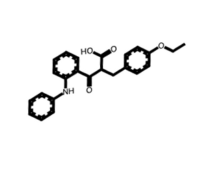 CCOc1ccc(CC(C(=O)O)C(=O)c2ccccc2Nc2ccccc2)cc1